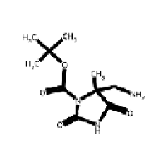 CC(C)(C)OC(=O)N1C(=O)NC(=O)C1(C)CN